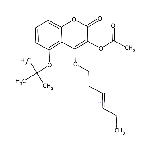 CC/C=C/CCOc1c(OC(C)=O)c(=O)oc2cccc(OC(C)(C)C)c12